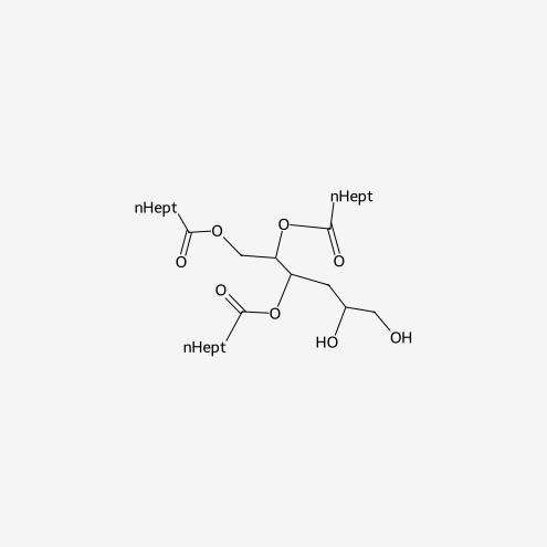 CCCCCCCC(=O)OCC(OC(=O)CCCCCCC)C(CC(O)CO)OC(=O)CCCCCCC